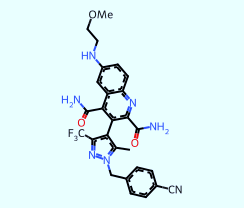 COCCNc1ccc2nc(C(N)=O)c(-c3c(C(F)(F)F)nn(Cc4ccc(C#N)cc4)c3C)c(C(N)=O)c2c1